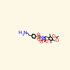 CC(=O)Oc1c(C)c(C)c2c(c1C)CCC(C)(C(=O)NS(=O)(=O)c1ccc(CCN)cc1)O2